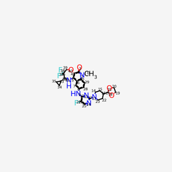 Cn1c(=O)c2c(c3cc(Nc4nc(N5CCC(C6OCCO6)CC5)ncc4F)ccc31)N[C@@H](C1CC1)C(F)(F)CO2